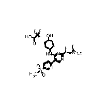 CC[C@H](F)CNc1ncc(-c2ccc(S(C)(=O)=O)cn2)c(NC2CCC(O)CC2)n1.O=C(O)C(F)(F)F